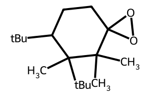 CC(C)(C)C1CCC2(OO2)C(C)(C)C1(C)C(C)(C)C